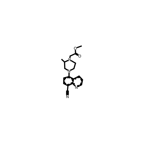 COC(=O)CN1CCN(c2ccc(C#N)c3ncccc23)CC1C